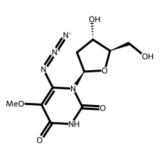 COc1c(N=[N+]=[N-])n([C@H]2C[C@H](O)[C@@H](CO)O2)c(=O)[nH]c1=O